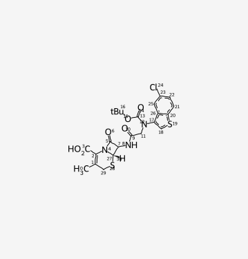 CC1=C(C(=O)O)N2C(=O)C(NC(=O)CN(C(=O)OC(C)(C)C)c3csc4ccc(Cl)cc34)[C@@H]2SC1